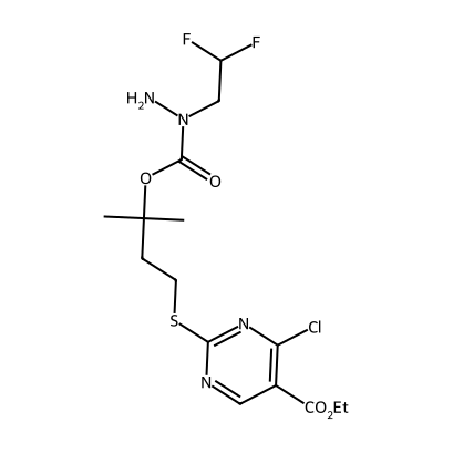 CCOC(=O)c1cnc(SCCC(C)(C)OC(=O)N(N)CC(F)F)nc1Cl